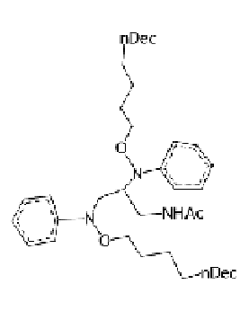 [CH2]C(=O)NCC(CN(OCCCCCCCCCCCCCC)c1ccccc1)N(OCCCCCCCCCCCCCC)c1ccccc1